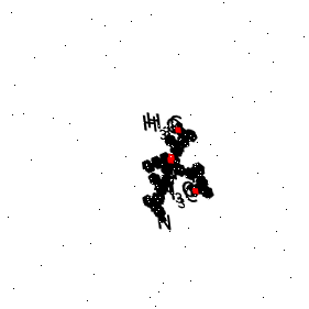 CCCCC1(CCCC)c2ccccc2-c2ccc(-n3c4ccccc4c4cc(-c5ccc6c(c5)c5cc(-c7ccc8c(c7)c7ccccc7n8-c7ccc8c(c7)C(CCCC)(CCCC)c7ccccc7-8)ccc5n6-c5nc(-c6cccc(-n7c8ccccc8c8cc(-c9ccc%10c(c9)c9ccccc9n%10-c9ccc(C#N)cc9)ccc87)c6)cc(-c6cc(-c7ccccc7)ccc6-c6ccccc6)n5)ccc43)cc21